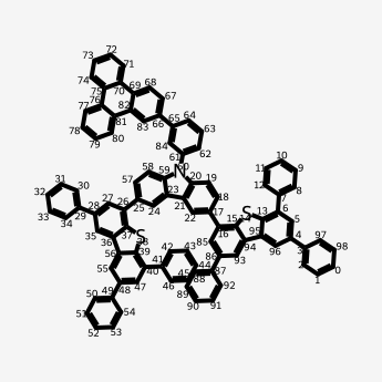 c1ccc(-c2cc(-c3ccccc3)c3sc4c(-c5ccc6c(c5)c5cc(-c7cc(-c8ccccc8)cc8c7sc7c(-c9ccccc9)cc(-c9ccccc9)cc78)ccc5n6-c5cccc(-c6ccc7c8ccccc8c8ccccc8c7c6)c5)cc(-c5ccccc5)cc4c3c2)cc1